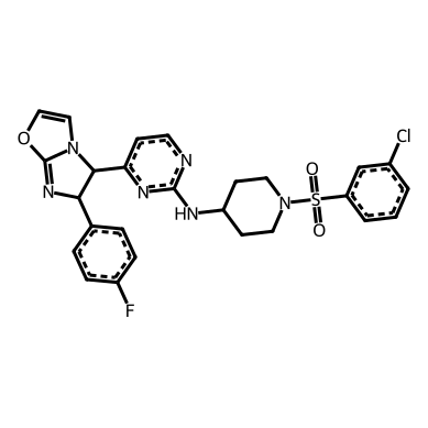 O=S(=O)(c1cccc(Cl)c1)N1CCC(Nc2nccc(C3C(c4ccc(F)cc4)N=C4OC=CN43)n2)CC1